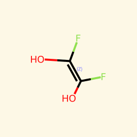 O/C(F)=C(\O)F